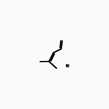 C=CC=C(C)C.[N]